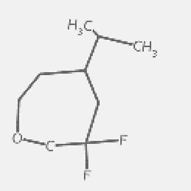 CC(C)C1CCOCC(F)(F)C1